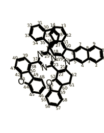 c1ccc2cc3c(cc2c1)c1c2ccccc2ccc1n3C1=C(c2nc(-c3cccc4ccccc34)nc(-c3cccc4oc5ccccc5c34)n2)c2oc3ccccc3c2CC1